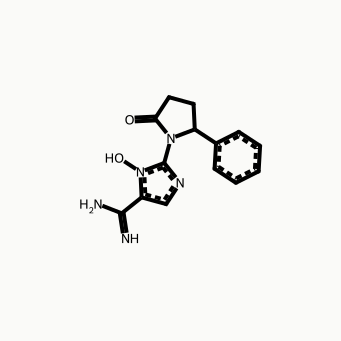 N=C(N)c1cnc(N2C(=O)CCC2c2ccccc2)n1O